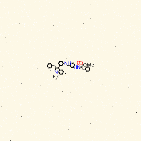 COC(=O)[C@@H](Cc1ccccc1)NC(=O)c1ccc(CNc2cccc(-c3c(Cc4ccccc4)cnc4c(C(F)(F)F)cccc34)c2)cc1